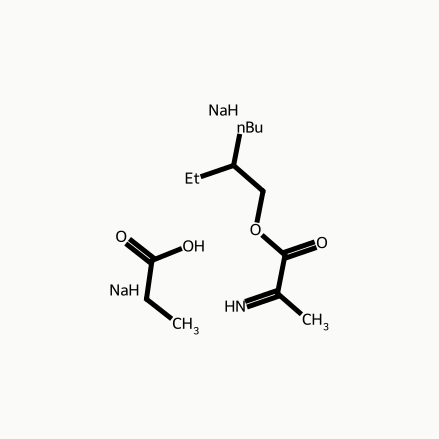 CCC(=O)O.CCCCC(CC)COC(=O)C(C)=N.[NaH].[NaH]